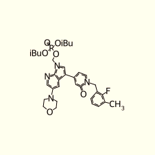 Cc1cccc(Cn2ccc(-c3cn(COP(=O)(OCC(C)C)OCC(C)C)c4ncc(N5CCOCC5)cc34)cc2=O)c1F